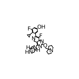 Oc1cc(F)c(C2CC2)c(-c2ncc3c(N4C[C@H]5C[C@@H]4CN5)nc(OCC45CCCN4CCC5)nc3c2F)c1